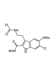 CCC(=O)NCCc1c(C(=O)NC)[nH]c2cc(Cl)c(OC)cc12